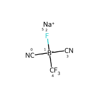 N#C[B-](F)(C#N)C(F)(F)F.[Na+]